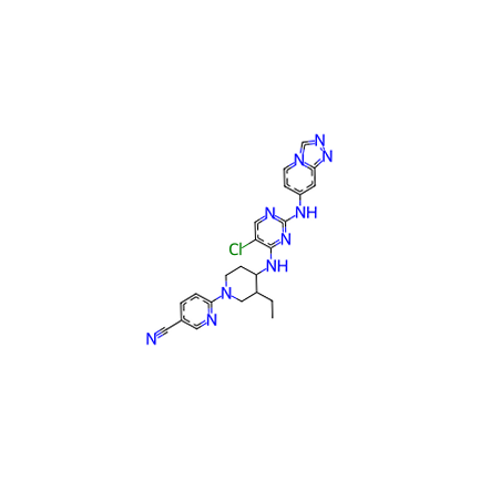 CCC1CN(c2ccc(C#N)cn2)CCC1Nc1nc(Nc2ccn3cnnc3c2)ncc1Cl